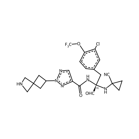 N#CC1(N[C@@](C=O)(Cc2ccc(OC(F)(F)F)c(Cl)c2)NC(=O)c2cnn(C3CC4(CNC4)C3)n2)CC1